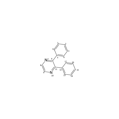 [c]1ccccc1-c1nccnc1-c1ccccc1